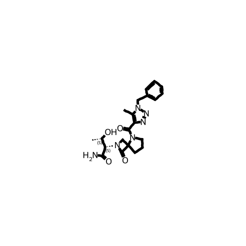 Cc1c(C(=O)N2CCCC23CN([C@H](C(N)=O)[C@H](C)O)C3=O)nnn1Cc1ccccc1